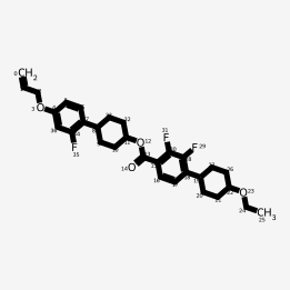 C=CCOc1ccc(C2CCC(OC(=O)c3ccc(C4CCC(OCC)CC4)c(F)c3F)CC2)c(F)c1